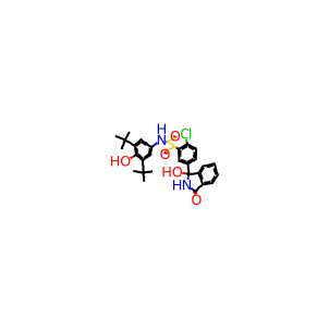 CC(C)(C)c1cc(NS(=O)(=O)c2cc(C3(O)NC(=O)c4ccccc43)ccc2Cl)cc(C(C)(C)C)c1O